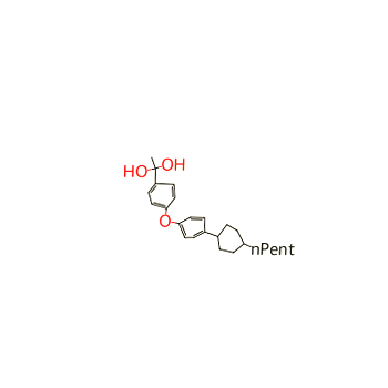 CCCCCC1CCC(c2ccc(Oc3ccc(C(C)(O)O)cc3)cc2)CC1